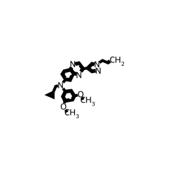 C=CCn1cc(-c2cnc3ccc(N(CC4CC4)c4cc(OC)cc(OC)c4)cc3n2)cn1